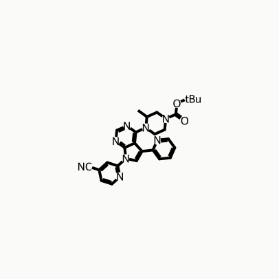 CC1CN(C(=O)OC(C)(C)C)CCN1c1ncnc2c1c(-c1ccccn1)cn2-c1cc(C#N)ccn1